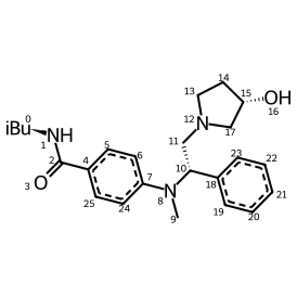 CC[C@H](C)NC(=O)c1ccc(N(C)[C@H](CN2CC[C@H](O)C2)c2ccccc2)cc1